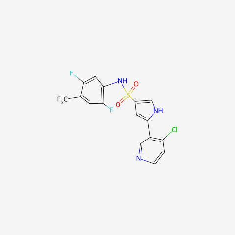 O=S(=O)(Nc1cc(F)c(C(F)(F)F)cc1F)c1c[nH]c(-c2cnccc2Cl)c1